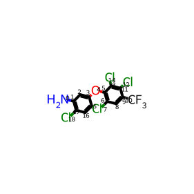 Nc1cc(Oc2c(Cl)cc(C(F)(F)F)c(Cl)c2Cl)ccc1Cl